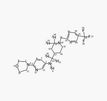 [2H]N(c1ccc(N2CCOCC2)nc1)C([2H])([2H])C1CCN(Cc2ccc(C(F)(F)F)cc2)C([2H])([2H])C1